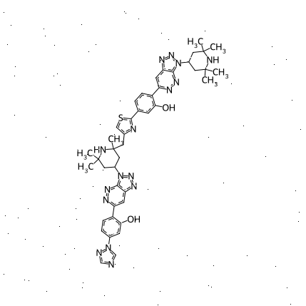 CC1(C)CC(n2nnc3cc(-c4ccc(-c5nc(CC6(C)CC(n7nnc8cc(-c9ccc(-n%10cncn%10)cc9O)nnc87)CC(C)(C)N6)cs5)cc4O)nnc32)CC(C)(C)N1